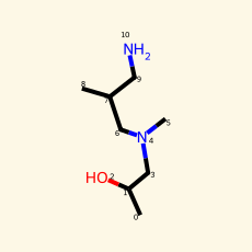 CC(O)CN(C)CC(C)CN